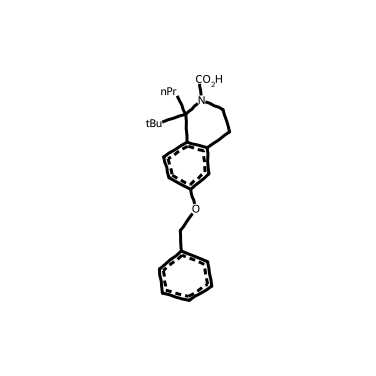 CCCC1(C(C)(C)C)c2ccc(OCc3ccccc3)cc2CCN1C(=O)O